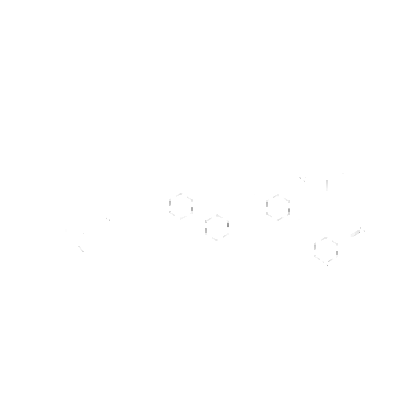 Cc1c(COc2cc(OCc3cncc(C#N)c3)c(CN3CCCCC3C(=O)O)cc2Cl)cccc1-c1cccc(OCCCN2CCC(O)(C(=O)O)CC2)c1C